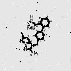 CCCc1nn2nc(C)cc2n1Cc1ccc(-c2ccccc2-c2nnn[nH]2)cc1